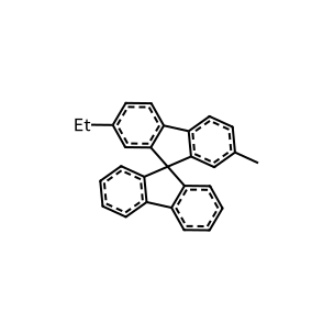 CCc1ccc2c(c1)C1(c3ccccc3-c3ccccc31)c1cc(C)ccc1-2